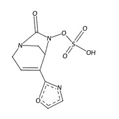 O=C1N2CC=C(c3ncco3)C(C2)N1OS(=O)(=O)O